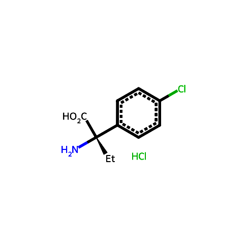 CC[C@@](N)(C(=O)O)c1ccc(Cl)cc1.Cl